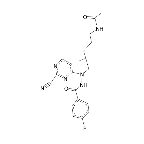 CC(=O)NCCCC(C)(C)CN(NC(=O)c1ccc(F)cc1)c1ccnc(C#N)n1